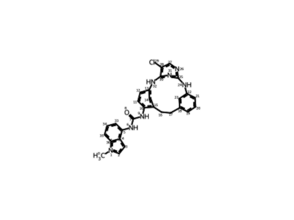 Cn1ccc2c(NC(=O)Nc3ccc4cc3CCc3cccc(c3)Nc3ncc(Cl)c(n3)N4)cccc21